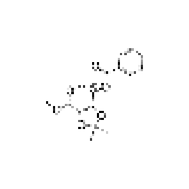 COC1OC[C@@H](OC(=O)c2ccccc2)C2OC(C)(C)OC12